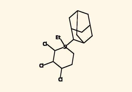 CC[Si]1(C2C3CC4CC(C3)CC2C4)CCC(Cl)C(Cl)C1Cl